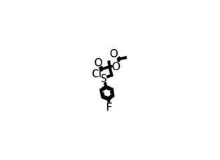 CC(=O)OC(C)(CSc1ccc(F)cc1)C(=O)Cl